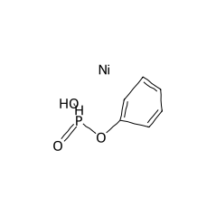 O=[PH](O)Oc1ccccc1.[Ni]